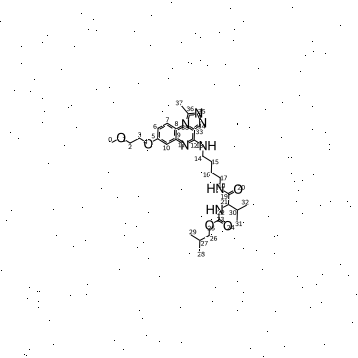 COCCOc1ccc2c(c1)nc(NCCCCNC(=O)C(NC(=O)OCC(C)C)C(C)C)c1nnc(C)n12